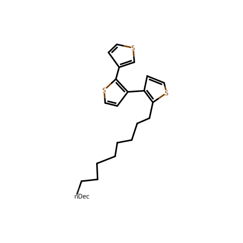 CCCCCCCCCCCCCCCCCCc1sccc1-c1ccsc1-c1ccsc1